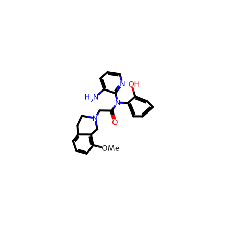 COc1cccc2c1CN(CC(=O)N(c1ccccc1O)c1ncccc1N)CC2